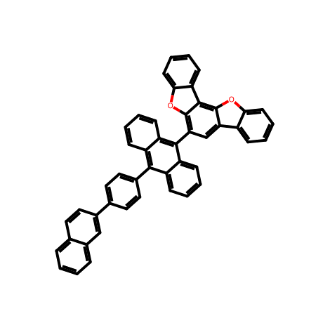 c1ccc2cc(-c3ccc(-c4c5ccccc5c(-c5cc6c7ccccc7oc6c6c5oc5ccccc56)c5ccccc45)cc3)ccc2c1